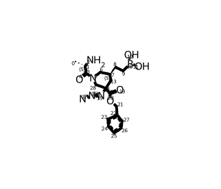 C[C@H](N)C(=O)N1C[C@@H](CCB(O)O)CC(N=[N+]=[N-])(C(=O)OCc2ccccc2)C1